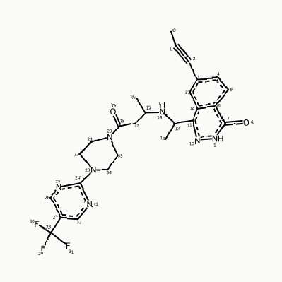 CC#Cc1ccc2c(=O)[nH]nc(C(C)NC(C)CC(=O)N3CCN(c4ncc(C(F)(F)F)cn4)CC3)c2c1